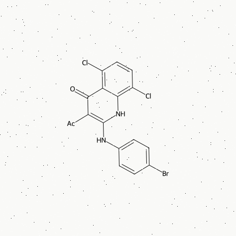 CC(=O)c1c(Nc2ccc(Br)cc2)[nH]c2c(Cl)ccc(Cl)c2c1=O